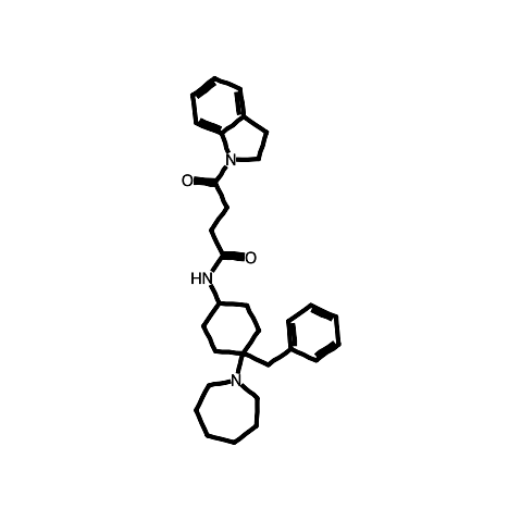 O=C(CCC(=O)N1CCc2ccccc21)NC1CCC(Cc2ccccc2)(N2CCCCCC2)CC1